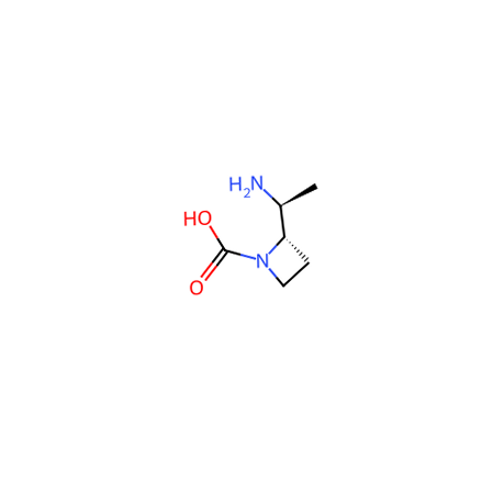 C[C@H](N)[C@@H]1CCN1C(=O)O